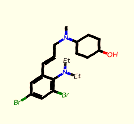 CCN(CC)c1c(Br)cc(Br)cc1/C=C/CN(C)C1CCC(O)CC1